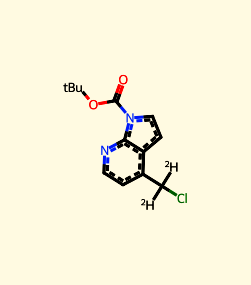 [2H]C([2H])(Cl)c1ccnc2c1ccn2C(=O)OC(C)(C)C